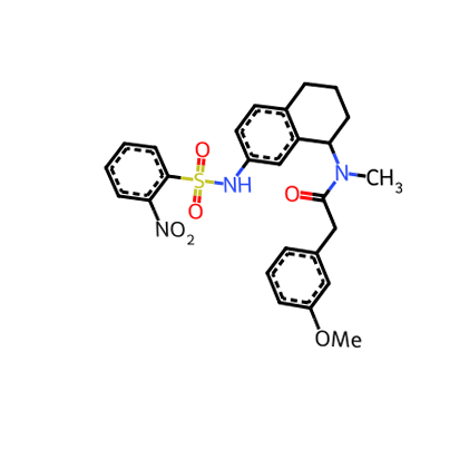 COc1cccc(CC(=O)N(C)C2CCCc3ccc(NS(=O)(=O)c4ccccc4[N+](=O)[O-])cc32)c1